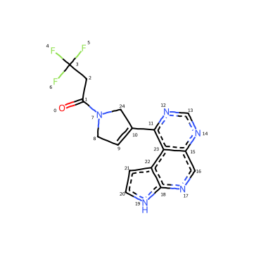 O=C(CC(F)(F)F)N1CC=C(c2ncnc3cnc4[nH]ccc4c23)C1